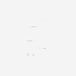 CCOc1cccc2c1C=C(OC(C)=O)CS2